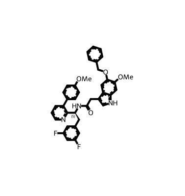 COc1ccc(-c2cccnc2[C@H](Cc2cc(F)cc(F)c2)NC(=O)Cc2c[nH]c3cc(OC)c(OCc4ccccc4)cc23)cc1